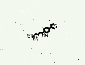 CCN(CC)CCCC1=NN=C2CC(c3ccsc3)=CC=C12